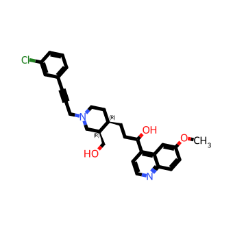 COc1ccc2nccc(C(O)CC[C@@H]3CCN(CC#Cc4cccc(Cl)c4)C[C@@H]3CO)c2c1